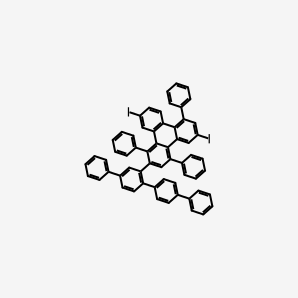 Ic1ccc2c(c1)c1c(-c3ccccc3)c(-c3cc(-c4ccccc4)ccc3-c3ccc(-c4ccccc4)cc3)cc(-c3ccccc3)c1c1cc(I)cc(-c3ccccc3)c21